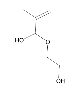 C=C(C)C(O)OCCO